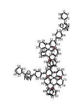 c1ccc(-c2nnc(-c3ccc(-c4ccc5c(c4)-c4ccccc4C54c5ccccc5C5(c6ccccc6)c6cc(-c7cc(-c8ccc(-c9nnc(-c%10ccccc%10)o9)cc8)cc8c7-c7ccccc7C87c8ccccc8C8(c9ccccc9)c9ccccc9-c9cccc7c98)ccc6-c6cccc4c65)cc3)o2)cc1